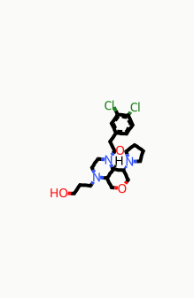 O=C(Cc1ccc(Cl)c(Cl)c1)N1CCN(CCCO)C2COC[C@H](N3CCCC3)[C@H]21